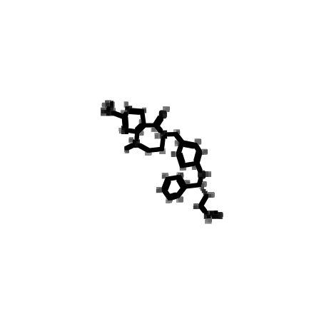 CCNc1ncc2c(n1)N(C)CCN(Cc1ccc(O[C@H](CCNC)c3ccccc3)cc1)C2=O